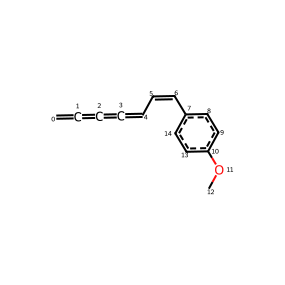 C=C=C=C=C/C=C\c1ccc(OC)cc1